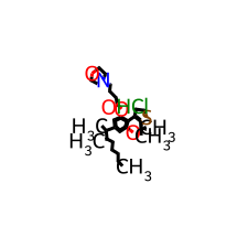 CCCCCC(C)C(C)c1cc(OC(=O)CCCN2CCOCC2)c2c(c1)OC(C)(C)C1=C2CCS1.Cl